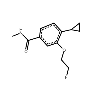 CNC(=O)c1ccc(C2CC2)c(OCCF)c1